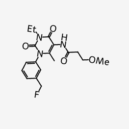 CCn1c(=O)c(NC(=O)CCOC)c(C)n(-c2cccc(CF)c2)c1=O